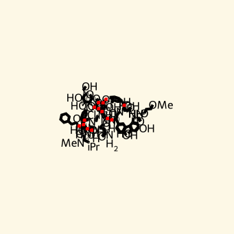 CN[C@H](CC(C)C)C(=O)N[C@H]1C(=O)N[C@@H](CC(N)=O)C(=O)N[C@H]2C(=O)N[C@H]3C(=O)N[C@H](C(=O)N[C@@H](C(=O)NOCCOC)c4cc(O)cc(O)c4-c4cc3ccc4O)[C@H](O)c3ccc(c(Cl)c3)Oc3cc2cc(c3O[C@@H]2O[C@H](CO)[C@@H](O)[C@H](O)[C@H]2O[C@H]2C[C@](C)(NCCn3ccc(NC(=O)CC4CCCCC4)nc3=O)[C@H](O)[C@H](C)O2)Oc2ccc(cc2Cl)[C@H]1O